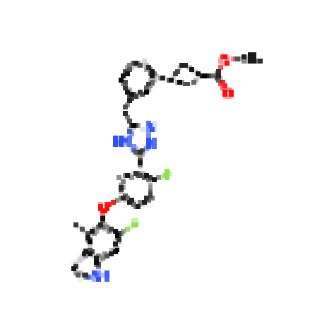 CCCCOC(=O)C1CC(c2cccc(Cc3nnc(-c4cc(Oc5c(F)cc6[nH]ccc6c5C)ccc4F)[nH]3)c2)C1